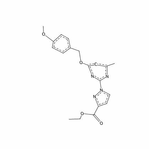 CCOC(=O)c1ccn(-c2nc(C)cc(OCc3ccc(OC)cc3)n2)n1